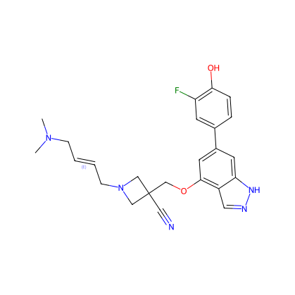 CN(C)C/C=C/CN1CC(C#N)(COc2cc(-c3ccc(O)c(F)c3)cc3[nH]ncc23)C1